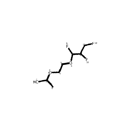 CC(C#N)OCCOC(F)C(F)CF